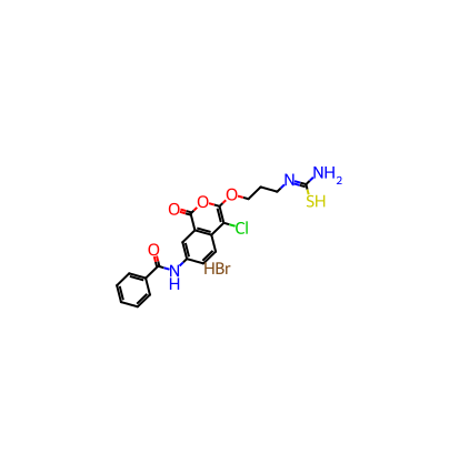 Br.NC(S)=NCCCOc1oc(=O)c2cc(NC(=O)c3ccccc3)ccc2c1Cl